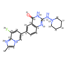 Cc1cn2cc(-c3ccc4nc(NN5CCCCC5)[nH]c(=O)c4c3)cc(F)c2n1